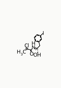 C[C@@H](Cl)C(=O)N[C@@H](CO)Cc1cccc(I)c1